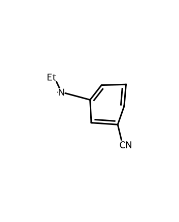 CC[N]c1cccc(C#N)c1